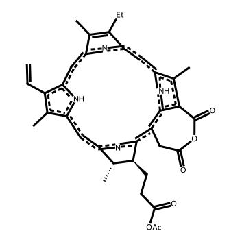 C=Cc1c(C)c2cc3nc(c4c5[nH]c(cc6nc(cc1[nH]2)C(C)=C6CC)c(C)c5C(=O)OC(=O)C4)[C@@H](CCC(=O)OC(C)=O)[C@@H]3C